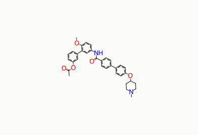 COc1ccc(NC(=O)c2ccc(-c3ccc(OC4CCN(C)CC4)cc3)cc2)cc1-c1cccc(OC(C)=O)c1